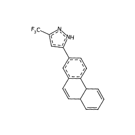 FC(F)(F)c1cc(-c2ccc3c(c2)C=CC2C=CC=CC32)[nH]n1